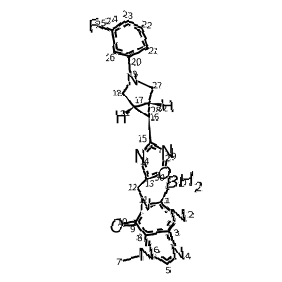 Bc1nc2ncn(C)c2c(=O)n1Cc1nc([C@H]2[C@@H]3CN(c4cccc(F)c4)C[C@@H]32)no1